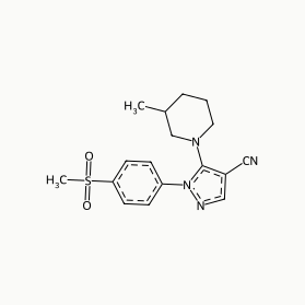 CC1CCCN(c2c(C#N)cnn2-c2ccc(S(C)(=O)=O)cc2)C1